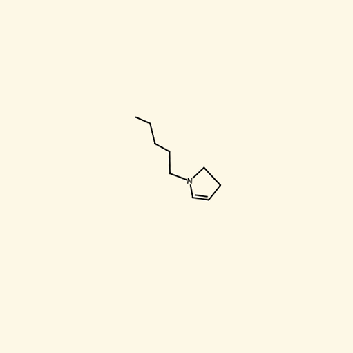 CCCCCN1C=CCC1